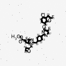 COC(=O)c1cc2c(nc(CC3CC=C(c4ncc(F)c(OCc5ccc(Cl)c6cc(F)oc56)n4)CC3)n2C[C@@H]2CCO2)s1